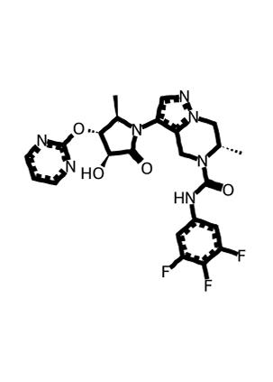 C[C@@H]1[C@@H](Oc2ncccn2)[C@H](O)C(=O)N1c1cnn2c1CN(C(=O)Nc1cc(F)c(F)c(F)c1)[C@@H](C)C2